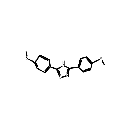 CSc1ccc(-c2nnc(-c3ccc(SC)cc3)[nH]2)cc1